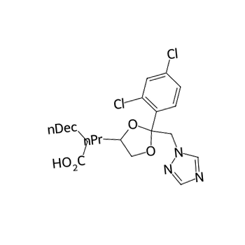 CCCC1COC(Cn2cncn2)(c2ccc(Cl)cc2Cl)O1.CCCCCCCCCCCC(=O)O